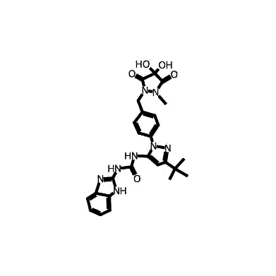 CN1C(=O)C(O)(O)C(=O)N1Cc1ccc(-n2nc(C(C)(C)C)cc2NC(=O)Nc2nc3ccccc3[nH]2)cc1